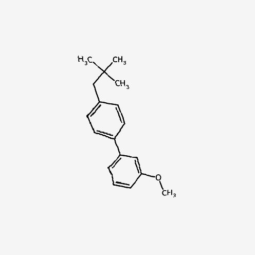 COc1cccc(-c2ccc(CC(C)(C)C)cc2)c1